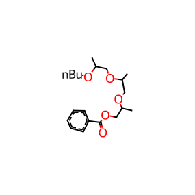 CCCCOC(C)COC(C)COC(C)COC(=O)c1ccccc1